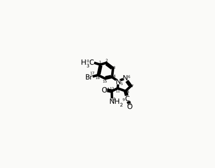 Cc1ccc(N2N=CC(=C=O)C2C(N)=O)cc1Br